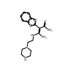 NC(=O)/C(=C(\N)NCCN1CCNCC1)c1nc2ccccc2s1